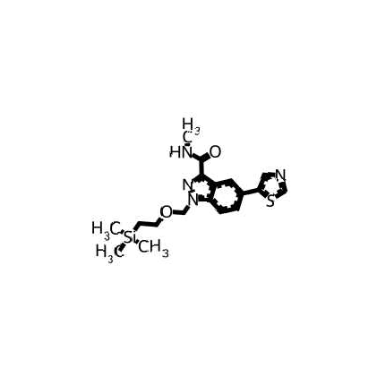 CNC(=O)c1nn(COCC[Si](C)(C)C)c2ccc(-c3cncs3)cc12